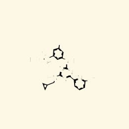 CS(=O)(=O)c1cc(F)cc(Nc2nc(NCC3CC3)nc(-c3cccc(C(F)(F)F)n3)n2)c1